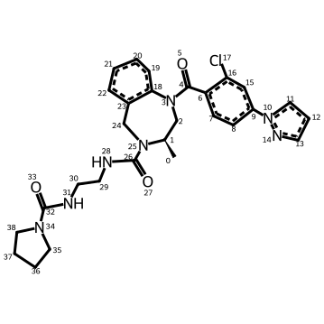 C[C@@H]1CN(C(=O)c2ccc(-n3cccn3)cc2Cl)c2ccccc2CN1C(=O)NCCNC(=O)N1CCCC1